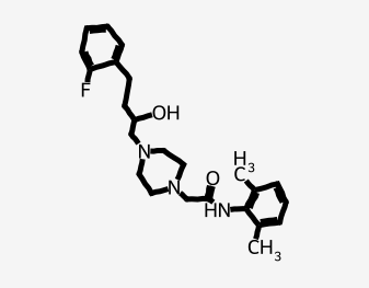 Cc1cccc(C)c1NC(=O)CN1CCN(CC(O)CCc2ccccc2F)CC1